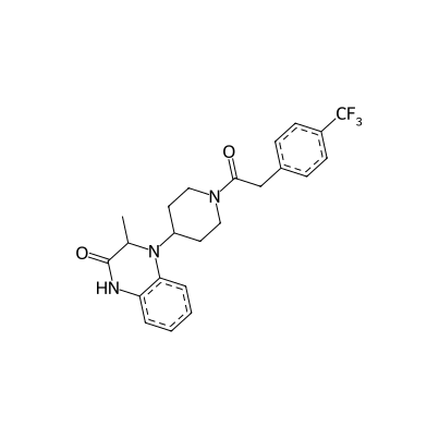 CC1C(=O)Nc2ccccc2N1C1CCN(C(=O)Cc2ccc(C(F)(F)F)cc2)CC1